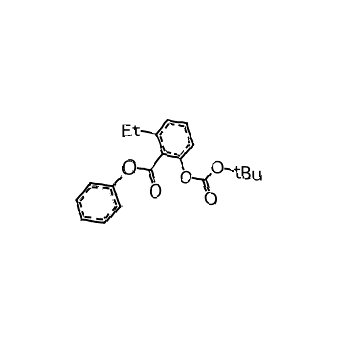 CCc1cccc(OC(=O)OC(C)(C)C)c1C(=O)Oc1ccccc1